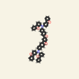 c1ccc2c(c1)oc1ccc(N(c3ccc4cc5c(cc4c3)oc3cc4oc6cc7cc(N(c8ccc9oc%10ccccc%10c9c8)c8cccc9c8oc8ccccc89)ccc7cc6c4cc35)c3cccc4c3oc3ccccc34)cc12